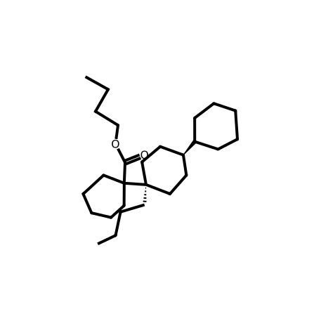 CCCCOC(=O)C1([C@]2(CCCC)CC[C@H](C3CCCCC3)CC2)CCCCC1